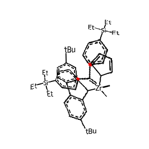 CC[Si](CC)(CC)c1ccc([C](c2ccc([Si](CC)(CC)CC)cc2)=[Zr]([CH3])([CH3])([CH]2C=CC=C2)[CH]2c3cc(C(C)(C)C)ccc3-c3ccc(C(C)(C)C)cc32)cc1